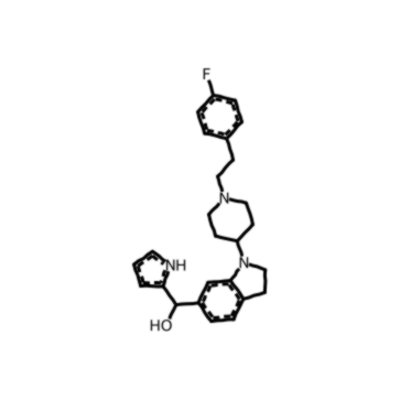 OC(c1ccc2c(c1)N(C1CCN(CCc3ccc(F)cc3)CC1)CC2)c1ccc[nH]1